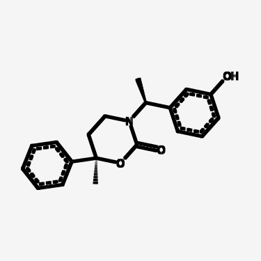 C[C@@H](c1cccc(O)c1)N1CC[C@](C)(c2ccccc2)OC1=O